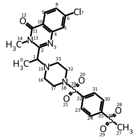 CC(c1nc2cc(Cl)ccc2c(=O)n1C)N1CCN(S(=O)(=O)c2ccc(S(C)(=O)=O)cc2)CC1